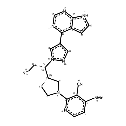 CSc1ccnc(N2CC[C@H]([C@H](CC#N)n3cc(-c4ncnc5[nH]ccc45)cn3)C2)c1C#N